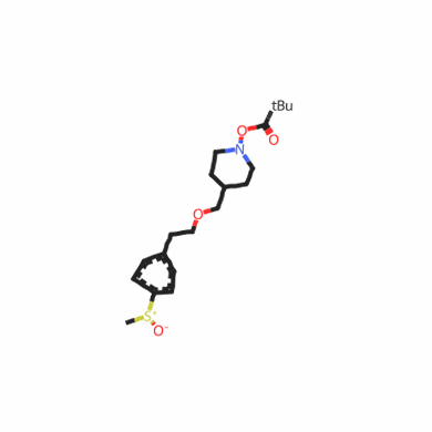 C[S+]([O-])c1ccc(CCOCC2CCN(OC(=O)C(C)(C)C)CC2)cc1